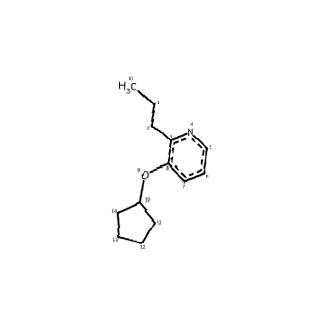 CCCc1ncccc1OC1CCCC1